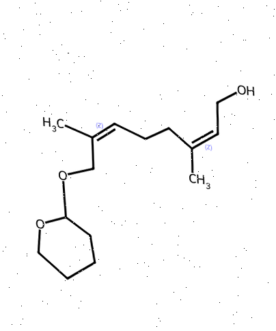 C/C(=C/CO)CC/C=C(/C)COC1CCCCO1